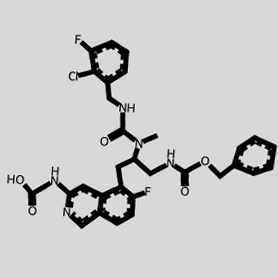 CN(C(=O)NCc1cccc(F)c1Cl)C(CNC(=O)OCc1ccccc1)Cc1c(F)ccc2cnc(NC(=O)O)cc12